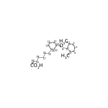 Cc1cccc(C)c1COc1cccc(CCCCCCC(=O)O)c1